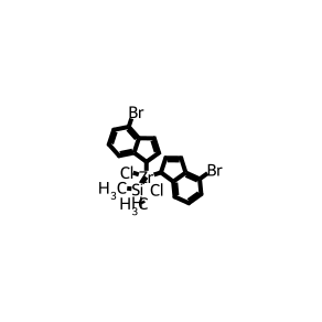 C[SiH](C)[Zr]([Cl])([Cl])([CH]1C=Cc2c(Br)cccc21)[CH]1C=Cc2c(Br)cccc21